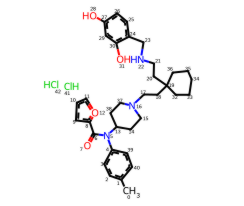 Cc1ccc(N(C(=O)c2ccco2)C2CCN(CCC3(CCNCc4ccc(O)cc4O)CCCCC3)CC2)cc1.Cl.Cl